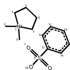 C[N+]1(C)CCCC1.O=S(=O)([O-])c1ccccc1